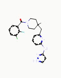 O=C(c1cccc(Cl)c1F)N1CCC(Cc2cccc(Nc3cc[nH]n3)n2)(C(=O)O)CC1